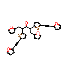 O=C(C(Cc1ccco1)c1ccc(C#Cc2ccco2)s1)C(Cc1ccco1)c1ccc(C#Cc2ccco2)s1